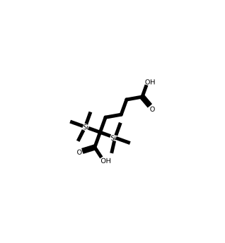 C[Si](C)(C)C(CCCC(=O)O)(C(=O)O)[Si](C)(C)C